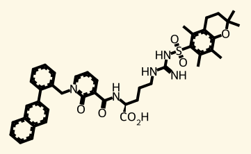 Cc1c(C)c(S(=O)(=O)NC(=N)NCCC[C@H](NC(=O)c2cccn(Cc3ccccc3-c3ccc4ccccc4c3)c2=O)C(=O)O)c(C)c2c1OC(C)(C)CC2